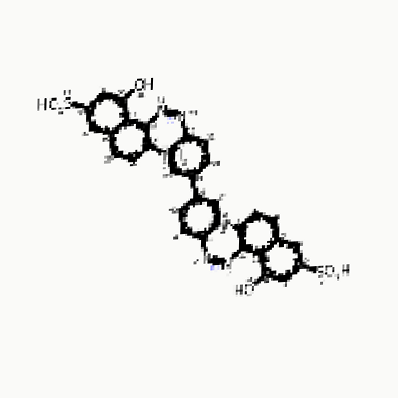 Nc1ccc2cc(S(=O)(=O)O)cc(O)c2c1/N=N\c1ccc(-c2ccc(/N=N\c3c(N)ccc4cc(S(=O)(=O)O)cc(O)c34)cc2)cc1